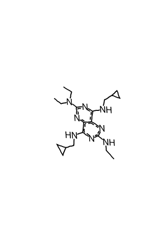 CCNc1nc(NCC2CC2)c2nc(N(CC)CC)nc(NCC3CC3)c2n1